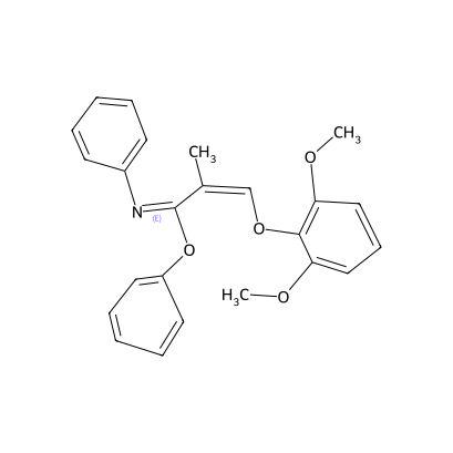 COc1cccc(OC)c1OC=C(C)/C(=N\c1ccccc1)Oc1ccccc1